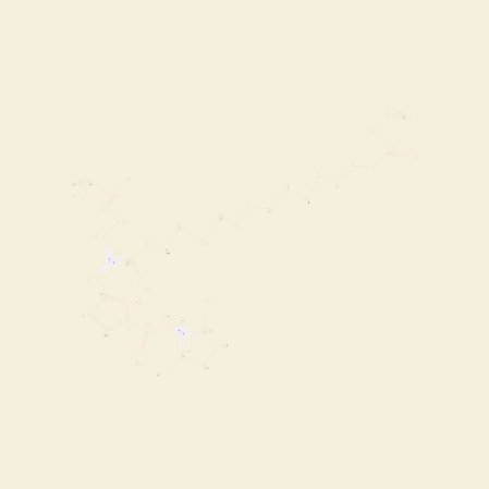 CC(C)(C)OC(=O)CCCCCCCCCCCCCCC(=O)N(CCC(=O)OC(C)(C)C)Cc1ccc(C(=O)ON2C(=O)CCC2=O)o1